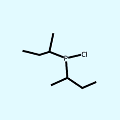 CCC(C)P(Cl)C(C)CC